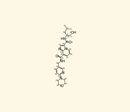 CC(C)C[C@@H](CO)NC(=O)c1cnc2c(C(=O)NCc3ccc(N4CCOCC4)nc3)cccn12